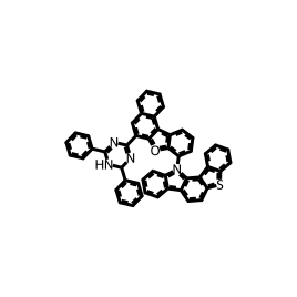 c1ccc(C2=NC(c3cc4ccccc4c4c3oc3c(-n5c6ccccc6c6ccc7sc8ccccc8c7c65)cccc34)=NC(c3ccccc3)N2)cc1